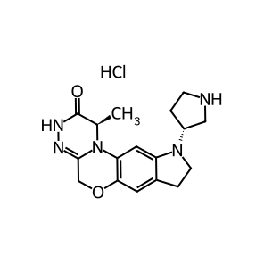 C[C@@H]1C(=O)NN=C2COc3cc4c(cc3N21)N([C@@H]1CCNC1)CC4.Cl